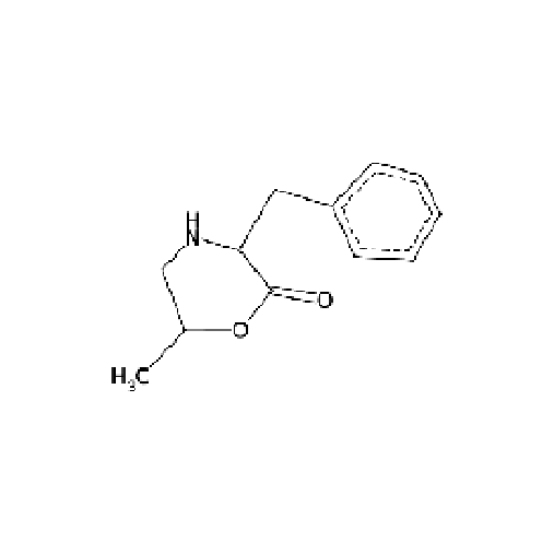 CC1CNC(Cc2ccccc2)C(=O)O1